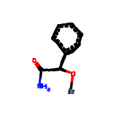 CCO[C](C(N)=O)c1ccccc1